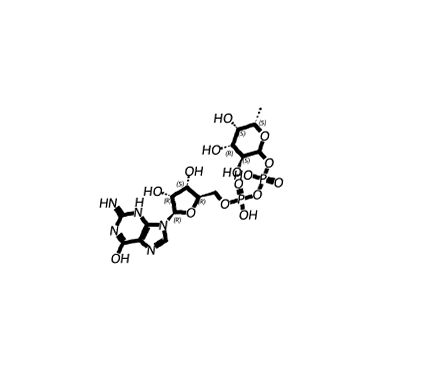 C[C@@H]1OC(OP(=O)(O)OP(=O)(O)OC[C@H]2O[C@@H](n3cnc4c(O)nc(=N)[nH]c43)[C@H](O)[C@@H]2O)[C@@H](O)[C@H](O)[C@@H]1O